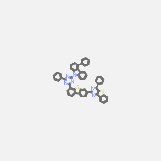 c1ccc(-c2nc(-c3cccc4c3sc3cc(-c5nc(-c6ccccc6)c6sc7ccccc7c6n5)ccc34)nc(-n3c4ccccc4c4c(-c5ccccc5)cccc43)n2)cc1